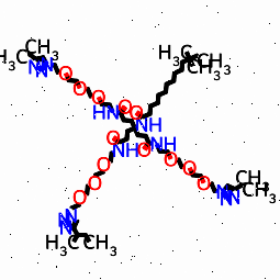 CCC(C)c1cn(CCOCCOCCOCCNC(=O)CCC(CCC(=O)NCCOCCOCCOCCn2cc(C(C)C)nn2)(CCC(=O)NCCOCCOCCOCCn2cc(C(C)C)nn2)NC(=O)CCCCCCCCCCC(C)(C)CC)nn1